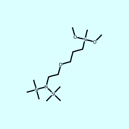 CO[Si](C)(CCCOCCN([Si](C)(C)C)[Si](C)(C)C)OC